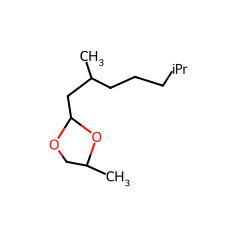 CC(C)CCCC(C)CC1OCC(C)O1